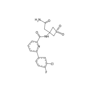 NC(=O)CC1(NC(=O)c2cccc(-c3ccc(F)c(Cl)c3)n2)CS(=O)(=O)C1